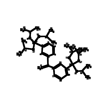 C=C(c1cccc([Si](OC(C)C)(OC(C)C)OC(C)C)c1)c1cccc([Si](OC(C)C)(OC(C)C)OC(C)C)c1